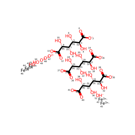 O=C([O-])[C@@H](O)[C@@H](O)[C@H](O)[C@@H](O)C(=O)[O-].O=C([O-])[C@@H](O)[C@@H](O)[C@H](O)[C@@H](O)C(=O)[O-].O=C([O-])[C@@H](O)[C@@H](O)[C@H](O)[C@@H](O)C(=O)[O-].[Fe+3].[Fe+3].[Fe+3].[Fe+3].[Fe+3].[O-2].[O-2].[O-2].[OH-].[OH-].[OH-]